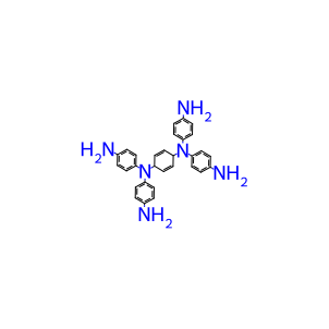 Nc1ccc(N(c2ccc(N)cc2)C2C=CC(N(c3ccc(N)cc3)c3ccc(N)cc3)C=C2)cc1